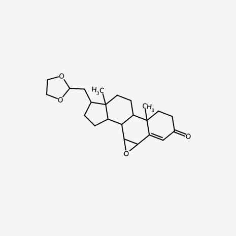 CC12CCC(=O)C=C1C1OC1C1C2CCC2(C)C(CC3OCCO3)CCC12